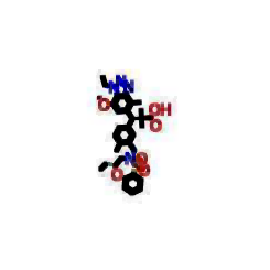 CC[C@@H]1CN(Cc2cc([C@@H](c3cc(OC)c4c(nnn4CC)c3C)C(C)(C)C(=O)O)ccc2C)S(=O)(=O)c2ccccc2O1